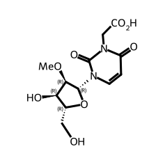 CO[C@@H]1[C@H](O)[C@@H](CO)O[C@H]1n1ccc(=O)n(CC(=O)O)c1=O